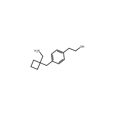 NCC1(Cc2ccc(CCO)cc2)CCC1